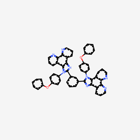 c1ccc(Oc2ccc(-n3c(-c4cccc(-c5nc6c7cccnc7c7ncccc7c6n5-c5ccc(Oc6ccccc6)cc5)c4)nc4c5cccnc5c5ncccc5c43)cc2)cc1